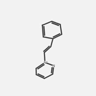 C(=C\[n+]1ccccn1)/c1ccccc1